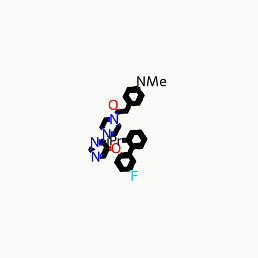 CNc1ccc(CC(=O)N2CCN(c3ncncc3Oc3ccc(F)cc3-c3ccccc3C(C)C)CC2)cc1